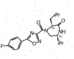 CC(C)C[C@H]1C(=O)N[C@@H](C(C)C)CN1C(=O)c1noc(-c2ccc(F)cc2)n1